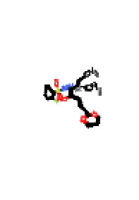 CC[C@H](C)[C@H](NS(=O)(=O)c1ccccc1F)C(O)CCC1OCCCO1